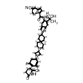 CC(C)(O)c1cc2nn(C3CCC4(CC3)CCN(C3CN(c5cc(F)c([C@H]6CCC(=O)NC6=O)c(F)c5)C3)CC4)cc2cc1NC(=O)c1ccc2cc(C#N)cnn12